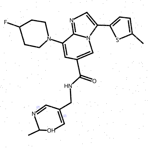 C/C=C(\C=N/C(C)O)CNC(=O)c1cc(N2CCC(F)CC2)c2ncc(-c3ccc(C)s3)n2c1